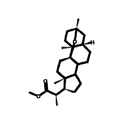 COC(=O)[C@@H](C)[C@H]1CCC2C3CC[C@@H]4C[C@]5(C)CC[C@]4(C)[C@]3(CC[C@@]21C)O5